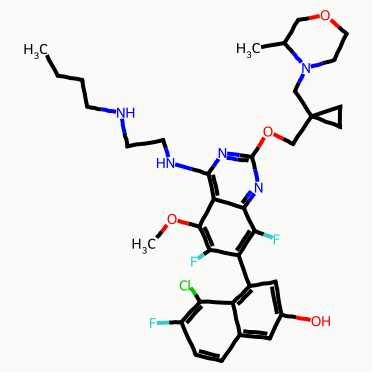 CCCCNCCNc1nc(OCC2(CN3CCOCC3C)CC2)nc2c(F)c(-c3cc(O)cc4ccc(F)c(Cl)c34)c(F)c(OC)c12